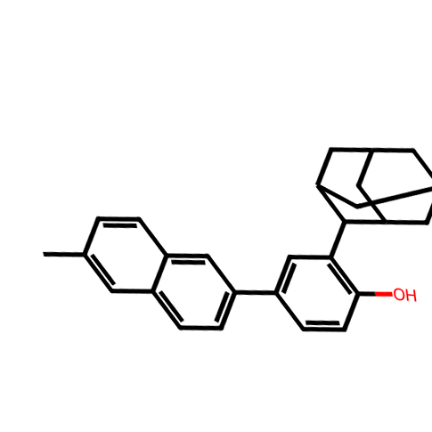 Cc1ccc2cc(-c3ccc(O)c(C4C5CC6CC(C5)CC4C6)c3)ccc2c1